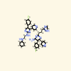 Fc1ccc(-c2cnc(NCCNc3ccccc3)nc2-c2ccncc2)cc1.Nc1nc(CCCc2ncc[nH]2)nc(-c2ccncc2)c1-c1ccc(F)cc1